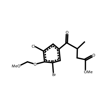 COCOc1c(Cl)cc(C(=O)C(C)CC(=O)OC)cc1Br